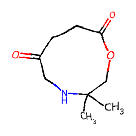 CC1(C)COC(=O)CCC(=O)CN1